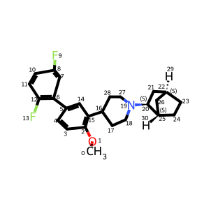 COc1ccc(-c2cc(F)ccc2F)cc1C1CCN([C@H]2C[C@H]3CC[C@H]2C3)CC1